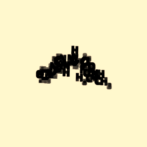 CC(C)NC(=O)O[C@H]1CC[C@@H](c2cc(Nc3nccc4nc(CN5CCOCC5)cn34)n[nH]2)[C@@H]1F